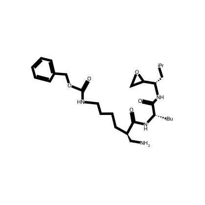 CCC(C)[C@H](NC(=O)[C@@H](CN)CCCCNC(=O)OCc1ccccc1)C(=O)N[C@@H](CC(C)C)C1CO1